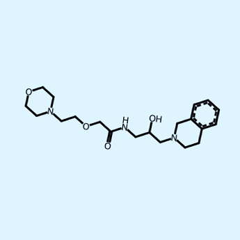 O=C(COCCN1CCOCC1)NCC(O)CN1CCc2ccccc2C1